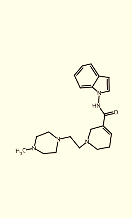 CN1CCN(CCN2CCC=C(C(=O)Nn3ccc4ccccc43)C2)CC1